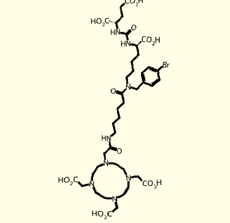 O=C(O)CC[C@H](NC(=O)N[C@H](CCCCN(Cc1ccc(Br)cc1)C(=O)CCCCCNC(=O)CN1CCN(CC(=O)O)CCN(CC(=O)O)CCN(CC(=O)O)CC1)C(=O)O)C(=O)O